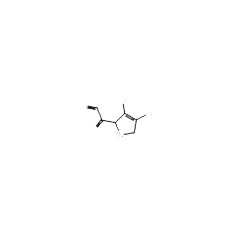 O=CC(=O)C1NCC(Br)=C1Br